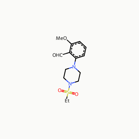 CCS(=O)(=O)N1CCN(c2cccc(OC)c2C=O)CC1